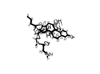 CCCC1O[C@@H]2C[C@H]3[C@@H]4CCC5=CC(=O)C=C[C@]5(C)[C@H]4[C@@H](O)C[C@]3(C)[C@]2(C(=O)COCN(C)C(=O)CNC)O1